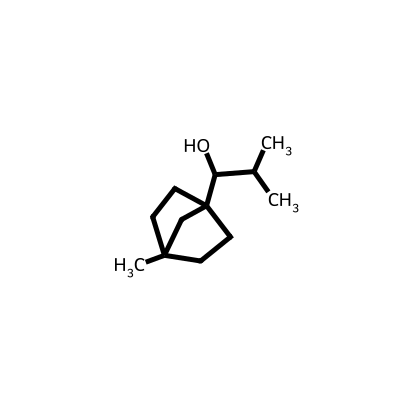 CC(C)C(O)C12CCC(C)(CC1)C2